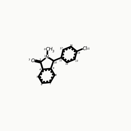 CN1C(=O)c2ccccc2C1c1ccc(Cl)cc1